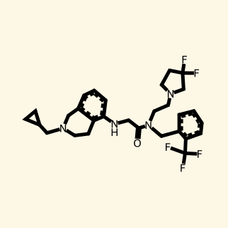 O=C(CNc1cccc2c1CCN(CC1CC1)C2)N(CCN1CCC(F)(F)C1)Cc1ccccc1C(F)(F)F